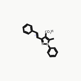 Cc1c(C(=O)O)c(/C=C/c2ccccc2)nn1-c1ccccc1